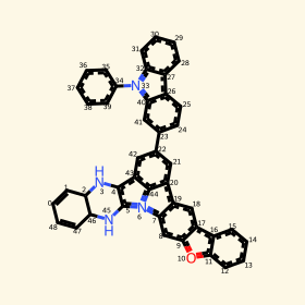 C1=CC2Nc3c(n4c5cc6oc7ccccc7c6cc5c5cc(-c6ccc7c8ccccc8n(-c8ccccc8)c7c6)cc3c54)NC2C=C1